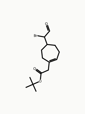 CC(C)(C)OC(=O)CC1=CCCC(C(Br)C=O)CC1